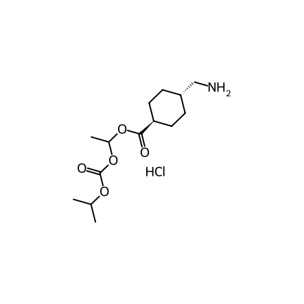 CC(C)OC(=O)OC(C)OC(=O)[C@H]1CC[C@H](CN)CC1.Cl